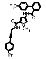 CC(C)c1ccc(C#CCNC(=O)c2cc(NC(=O)c3ccccc3-c3ccc(C(F)(F)F)cc3)cn2C)cc1